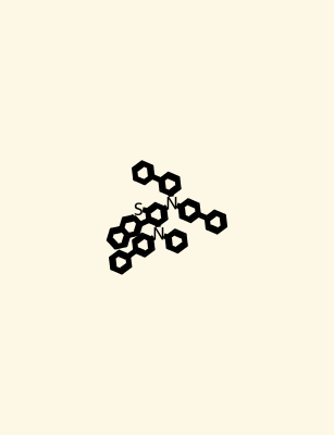 C1=CCCC(c2cccc(N(c3ccc(-c4ccccc4)cc3)c3cc(N(c4ccccc4)c4ccc(-c5ccccc5)cc4)c4c(c3)sc3cc5ccccc5cc34)c2)=C1